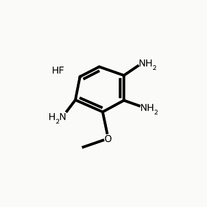 COc1c(N)ccc(N)c1N.F